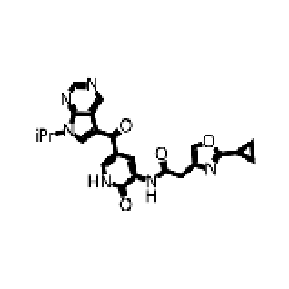 CC(C)n1cc(C(=O)c2c[nH]c(=O)c(NC(=O)Cc3coc(C4CC4)n3)c2)c2cncnc21